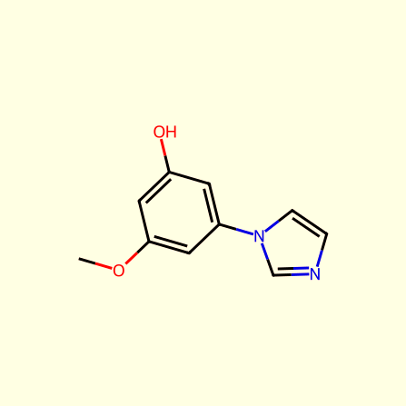 COc1cc(O)cc(-n2ccnc2)c1